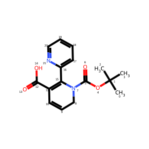 CC(C)(C)OC(=O)N1CC=CC(C(=O)O)=C1c1ccccn1